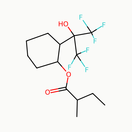 CCC(C)C(=O)OC1CCCCC1C(O)(C(F)(F)F)C(F)(F)F